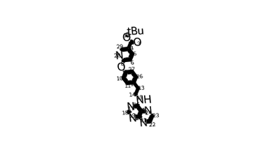 CC(C)(C)OC(=O)c1ccc(Oc2ccc(CCNc3ncnc4nccnc34)cc2)nc1